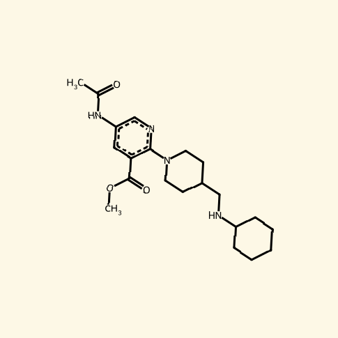 COC(=O)c1cc(NC(C)=O)cnc1N1CCC(CNC2CCCCC2)CC1